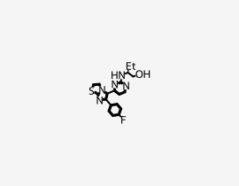 CC[C@@H](CO)Nc1nccc(-c2c(-c3ccc(F)cc3)nc3sccn23)n1